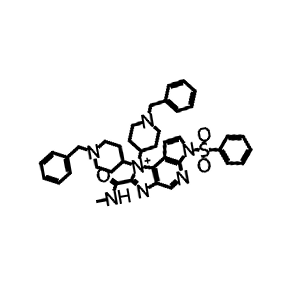 CNC(=O)C1=Nc2cnc3c(ccn3S(=O)(=O)c3ccccc3)c2[N+]1(C1CCN(Cc2ccccc2)CC1)C1CCN(Cc2ccccc2)CC1